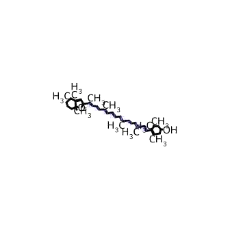 CC1=C(/C=C/C(C)=C/C=C/C(C)=C/C=C/C=C(C)/C=C/C=C(\C)C2C=C3C(C)(C)CCCC3(C)O2)C(C)(C)CC(O)C1